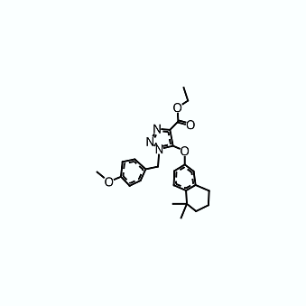 CCOC(=O)c1nnn(Cc2ccc(OC)cc2)c1Oc1ccc2c(c1)CCCC2(C)C